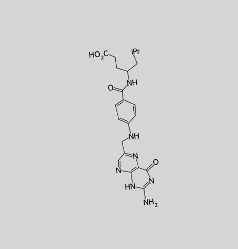 CC(C)CC(CCC(=O)O)NC(=O)c1ccc(NCc2cnc3[nH]c(N)nc(=O)c3n2)cc1